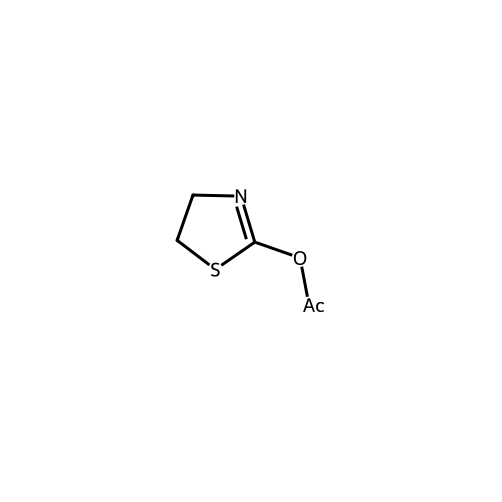 CC(=O)OC1=NCCS1